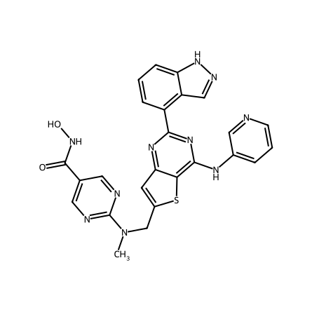 CN(Cc1cc2nc(-c3cccc4[nH]ncc34)nc(Nc3cccnc3)c2s1)c1ncc(C(=O)NO)cn1